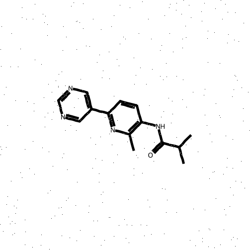 Cc1nc(-c2cncnc2)ccc1NC(=O)C(C)C